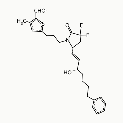 Cc1cc(CCCN2C(=O)C(F)(F)C[C@@H]2/C=C/[C@@H](O)CCCCc2ccccc2)sc1[C]=O